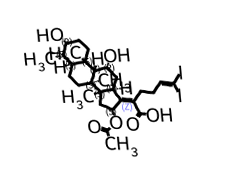 CC(=O)O[C@H]1C[C@@]2(C)[C@@H](C[C@@H](O)[C@H]3[C@@]4(C)CC[C@@H](O)[C@@H](C)[C@@H]4CC[C@@]32C)/C1=C(\CCC=C(I)I)C(=O)O